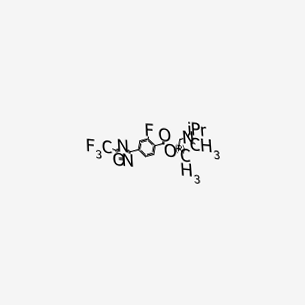 CC(C)N(C)C[C@@H](C)OC(=O)c1ccc(-c2noc(C(F)(F)F)n2)cc1F